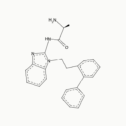 C[C@H](N)C(=O)Nc1nc2ccccc2n1CCc1ccccc1-c1ccccc1